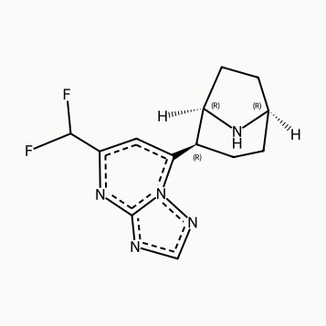 FC(F)c1cc([C@@H]2CC[C@@H]3CC[C@H]2N3)n2ncnc2n1